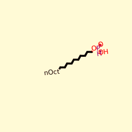 CCCCCCCCCCCCCCCCCCO[PH](=O)O